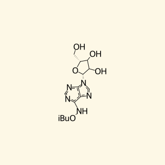 CC(C)CONc1ncnc2c1ncn2[C@@H]1O[C@H](CO)C(O)C1O